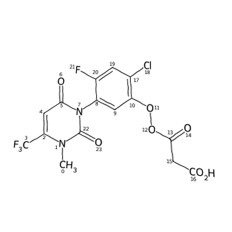 Cn1c(C(F)(F)F)cc(=O)n(-c2cc(OOC(=O)CC(=O)O)c(Cl)cc2F)c1=O